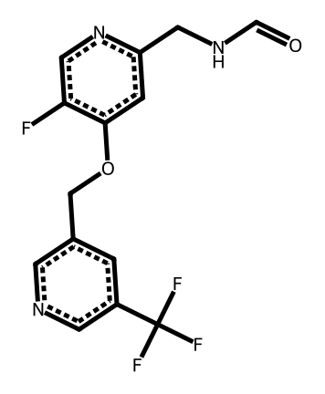 O=CNCc1cc(OCc2cncc(C(F)(F)F)c2)c(F)cn1